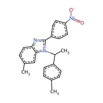 Cc1ccc(C(C)n2c(-c3ccc([N+](=O)[O-])cc3)nc3ccc(C)cc32)cc1